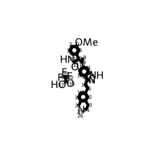 COc1ccc2c(c1)[C@]1(C[C@H]1c1ccc3c(C=Cc4ccc5c(c4)CCN(C)C5)n[nH]c3c1)C(=O)N2.O=C(O)C(F)(F)F